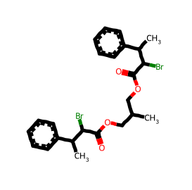 CC(COC(=O)C(Br)C(C)c1ccccc1)COC(=O)C(Br)C(C)c1ccccc1